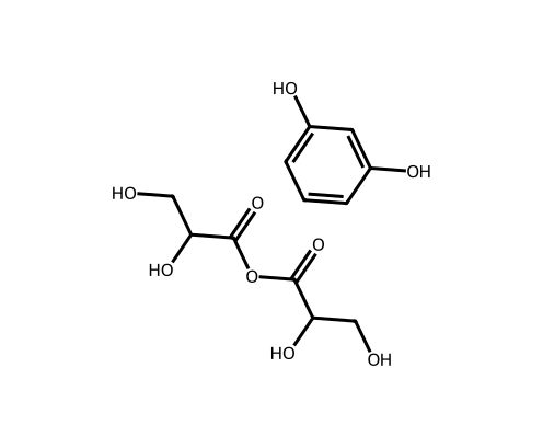 O=C(OC(=O)C(O)CO)C(O)CO.Oc1cccc(O)c1